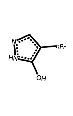 [CH2]CCc1cn[nH]c1O